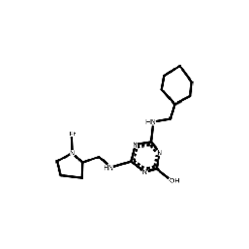 CCN1CCCC1CNc1nc(O)nc(NCC2CCCCC2)n1